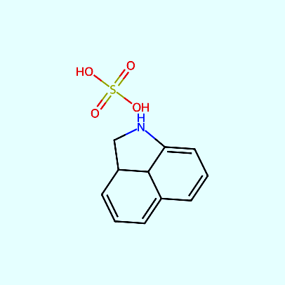 C1=CC2=CC=CC3CNC(=C1)C23.O=S(=O)(O)O